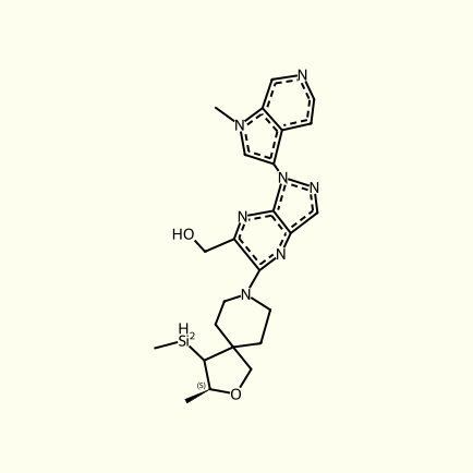 C[SiH2]C1[C@H](C)OCC12CCN(c1nc3cnn(-c4cn(C)c5cnccc45)c3nc1CO)CC2